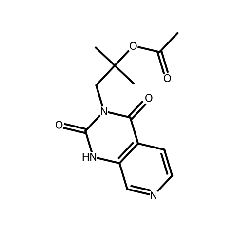 CC(=O)OC(C)(C)Cn1c(=O)[nH]c2cnccc2c1=O